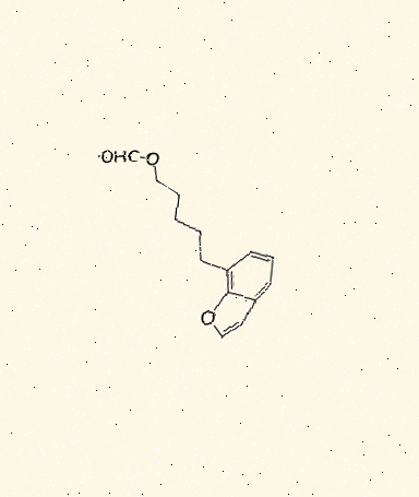 O=[C]OCCCCCc1cccc2ccoc12